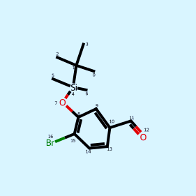 CC(C)(C)[Si](C)(C)Oc1cc(C=O)ccc1Br